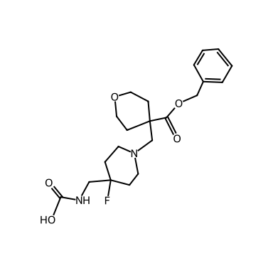 O=C(O)NCC1(F)CCN(CC2(C(=O)OCc3ccccc3)CCOCC2)CC1